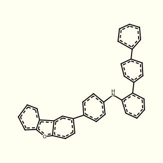 c1ccc(-c2ccc(-c3ccccc3Nc3ccc(-c4ccc5oc6ccccc6c5c4)cc3)cc2)cc1